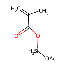 C=C(C)C(=O)O[SiH2]OC(C)=O